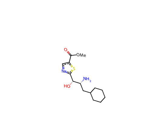 COC(=O)c1cnc([C@@H](O)[C@H](N)CC2CCCCC2)s1